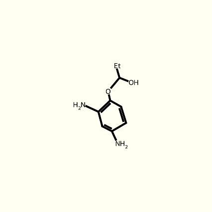 CCC(O)Oc1ccc(N)cc1N